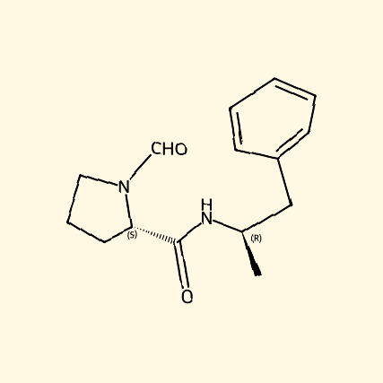 C[C@H](Cc1ccccc1)NC(=O)[C@@H]1CCCN1C=O